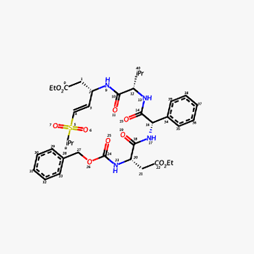 CCOC(=O)C[C@@H](/C=C/S(=O)(=O)C(C)C)NC(=O)[C@@H](NC(=O)[C@@H](NC(=O)[C@H](CC(=O)OCC)NC(=O)OCc1ccccc1)c1ccccc1)C(C)C